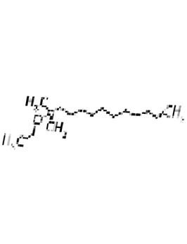 C=CCCCCCCCCC[Si](C)(C)OCC